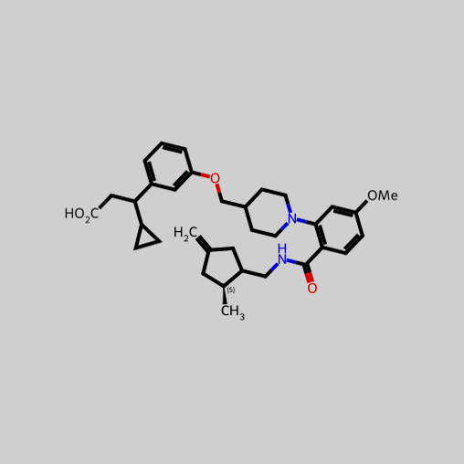 C=C1CC(CNC(=O)c2ccc(OC)cc2N2CCC(COc3cccc(C(CC(=O)O)C4CC4)c3)CC2)[C@@H](C)C1